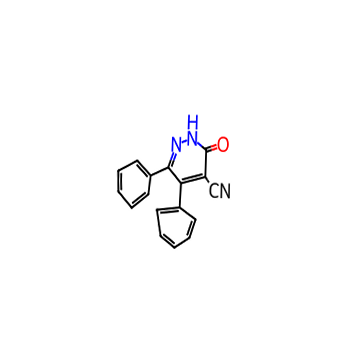 N#Cc1c(-c2ccccc2)c(-c2ccccc2)n[nH]c1=O